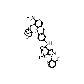 Nc1nccc(Oc2ccc(NC(=O)c3cnn(-c4ncccc4F)c3C(F)(F)F)cc2F)c1CN1C2COCC1C2